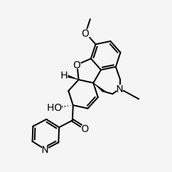 COc1ccc2c3c1O[C@H]1C[C@](O)(C(=O)c4cccnc4)C=C[C@@]31CCN(C)C2